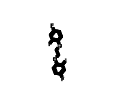 Fc1ccc(OCCOc2ccc(F)cc2I)c(I)c1